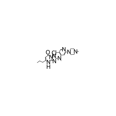 CCCc1cc(=O)n2nc(N(C)c3cc(N4CCN(C)CC4)ncc3Cl)nc2[nH]1